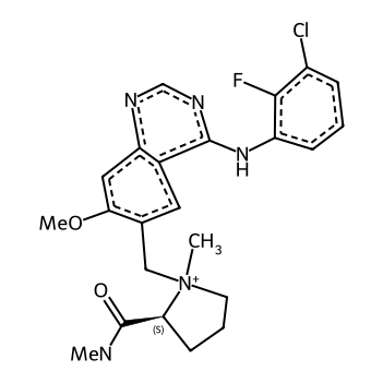 CNC(=O)[C@@H]1CCC[N+]1(C)Cc1cc2c(Nc3cccc(Cl)c3F)ncnc2cc1OC